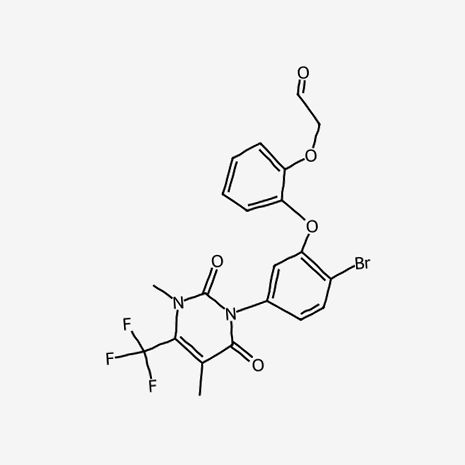 Cc1c(C(F)(F)F)n(C)c(=O)n(-c2ccc(Br)c(Oc3ccccc3OCC=O)c2)c1=O